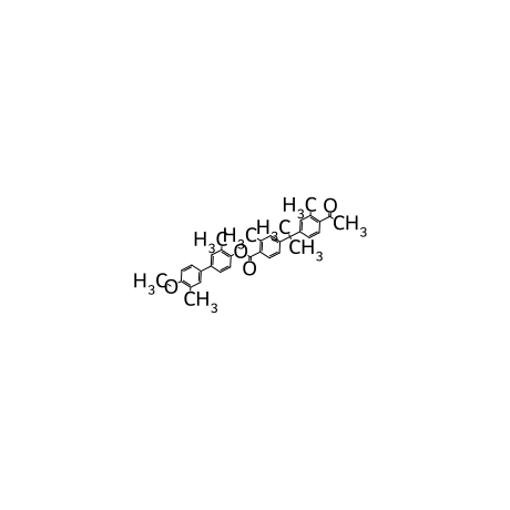 COc1ccc(-c2ccc(OC(=O)c3ccc(C(C)(C)c4ccc(C(C)=O)c(C)c4)cc3C)c(C)c2)cc1C